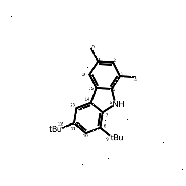 Cc1cc(C)c2[nH]c3c(C(C)(C)C)cc(C(C)(C)C)cc3c2c1